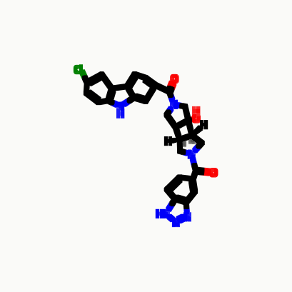 O=C(c1ccc2[nH]nnc2c1)N1C[C@@H]2C3CN(C(=O)c4ccc5c(c4)[nH]c4ccc(Cl)cc45)CC3(O)[C@@H]2C1